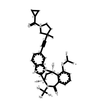 [2H]C([2H])([2H])N1C(=O)c2cccc(OC(F)F)c2[C@H]2C[C@@H]1c1nc3ccc(C#CC4(C)CCN(C(=O)C5CC5)C4)cc3n12